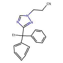 CCC(c1ccccc1)(c1ccccc1)c1ncn(CCC#N)n1